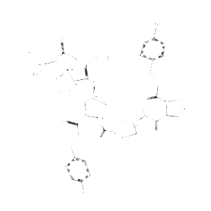 C[C@@H](O)[C@H]1C(=O)N2C(C(=O)O)=C(S[C@H]3C[C@@H](C(=O)N4CC[C@H](NC(=O)[C@@H]5CCCN5C(=O)OCc5ccc([N+](=O)[O-])cc5)C4)N(C(=O)OCc4ccc([N+](=O)[O-])cc4)C3)[C@H](C)[C@H]12